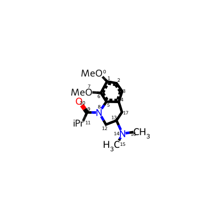 COc1ccc2c(c1OC)N(C(=O)C(C)C)CC(N(C)C)C2